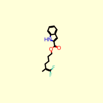 CC(CCCCOC(=O)c1cc2ccccc2[nH]1)=C(F)F